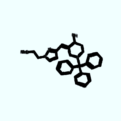 COCCn1ccc(/C=C2\CN(C(c3ccccc3)(c3ccccc3)c3ccccc3)CCC2O)n1